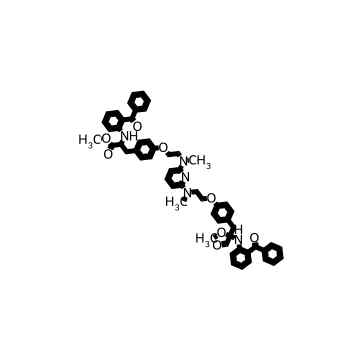 COC(=O)C(Cc1ccc(OCCN(C)c2cccc(N(C)CCOc3ccc(CC(C=O)(Nc4ccccc4C(=O)c4ccccc4)OC)cc3)n2)cc1)Nc1ccccc1C(=O)c1ccccc1